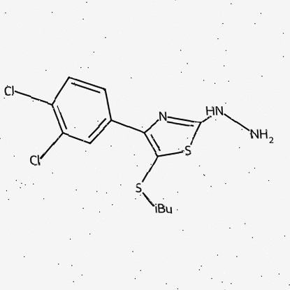 CCC(C)Sc1sc(NN)nc1-c1ccc(Cl)c(Cl)c1